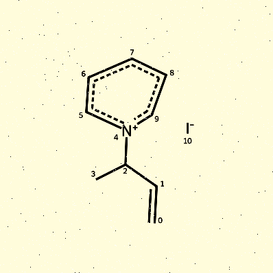 C=CC(C)[n+]1ccccc1.[I-]